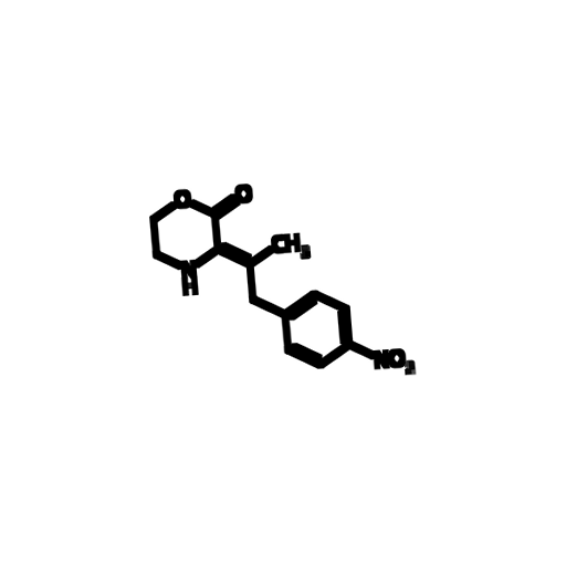 C/C(Cc1ccc([N+](=O)[O-])cc1)=C1/NCCOC1=O